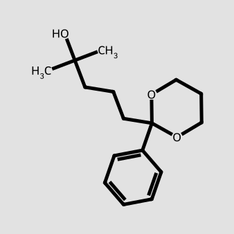 CC(C)(O)CCCC1(c2ccccc2)OCCCO1